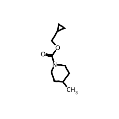 CC1CCN(C(=O)OCC2CC2)CC1